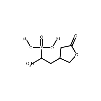 CCOP(=O)(OCC)C(CC1COC(=O)C1)[N+](=O)[O-]